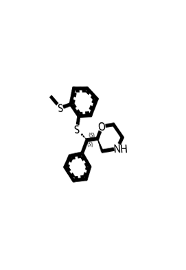 CSc1ccccc1S[C@@H](c1ccccc1)[C@@H]1CNCCO1